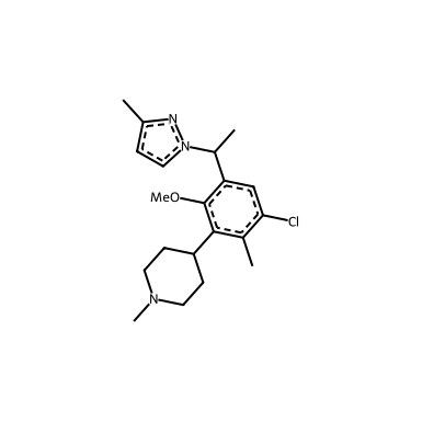 COc1c(C(C)n2ccc(C)n2)cc(Cl)c(C)c1C1CCN(C)CC1